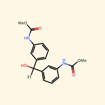 CCC(O)(c1cccc(NC(=O)OC)c1)c1cccc(NC(=O)OC)c1